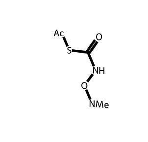 CNONC(=O)SC(C)=O